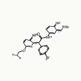 CN/C=C1/C=C(NC(=O)/C(=C2/N=C(OCC(F)F)C=CC2=N)c2ccc(Br)cc2)C=CC1=N